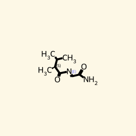 CC(C)[C@H](C)C(=O)/N=C/C(N)=O